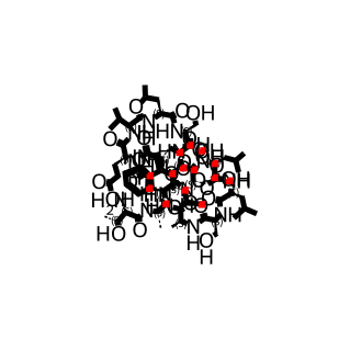 CC(C)C[C@H](NC(=O)[C@H](C)NC(=O)[C@@H](N)[C@@H](C)O)C(=O)N[C@@H](CCC(=O)O)C(=O)N[C@@H](CCC(=O)O)C(=O)N[C@H](C(=O)N[C@@H](CC(C)C)C(=O)N[C@@H](CO)C(=O)N[C@@H](Cc1c[nH]c2ccccc12)C(=O)N[C@@H](CC(C)C)C(=O)N[C@@H](CC(C)C)C(=O)N[C@@H](CO)C(=O)N[C@@H](C)C(=O)N[C@@H](CCC(=O)O)C(=O)N[C@@H](CC(=O)O)C(=O)O)C(C)C